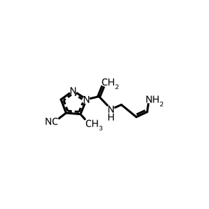 C=C(NC/C=C\N)n1ncc(C#N)c1C